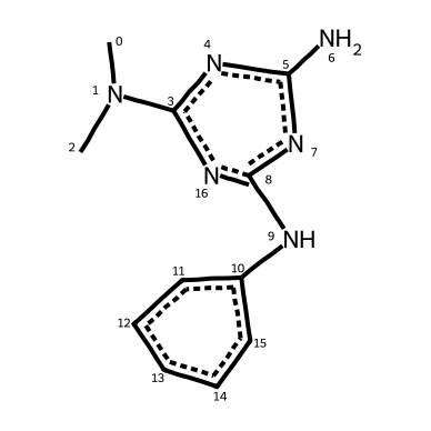 CN(C)c1nc(N)nc(Nc2ccccc2)n1